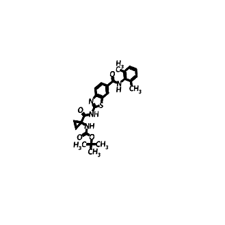 Cc1cccc(C)c1NC(=O)c1ccc2nc(NC(=O)C3(NC(=O)OC(C)(C)C)CC3)sc2c1